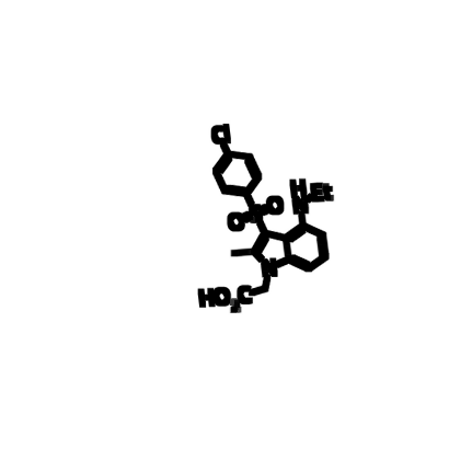 CCNc1cccc2c1c(S(=O)(=O)c1ccc(Cl)cc1)c(C)n2CC(=O)O